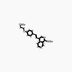 CNc1ncc(C=Cc2ccc(OCCOC)cc2)c2ccncc12